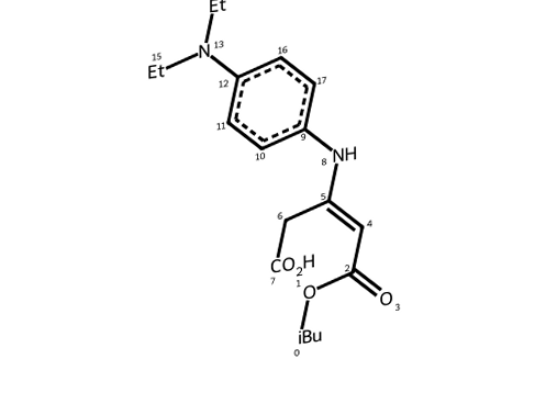 CCC(C)OC(=O)C=C(CC(=O)O)Nc1ccc(N(CC)CC)cc1